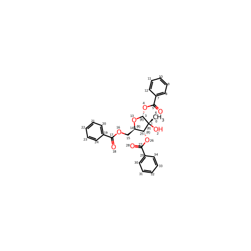 C[C@]1(O)[C@@H](OC(=O)c2ccccc2)O[C@H](COC(=O)c2ccccc2)[C@H]1OC(=O)c1ccccc1